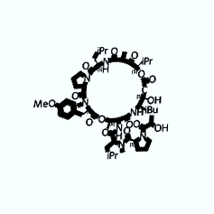 CCC(C)[C@H]1NC(=O)C(NC(=O)C(CC(C)C)N(C)C(=O)[C@@H]2CCCN2C(=O)C(C)O)[C@@H](C)OC(=O)[C@H](Cc2ccc(OC)cc2)N(C)C(=O)C2CCCN2C(=O)[C@H](CC(C)C)NC(=O)C(C)C(=O)[C@H](C(C)C)OC(=O)C[C@@H]1O